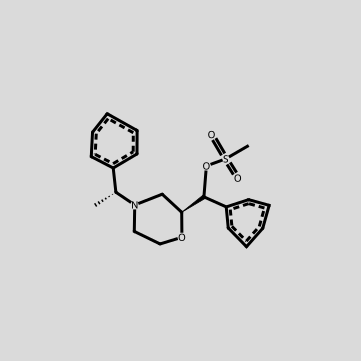 C[C@H](c1ccccc1)N1CCO[C@H](C(OS(C)(=O)=O)c2ccccc2)C1